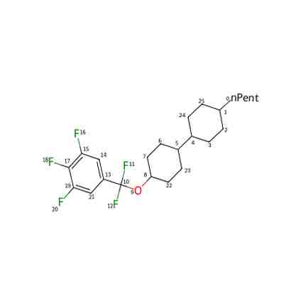 CCCCCC1CCC(C2CCC(OC(F)(F)c3cc(F)c(F)c(F)c3)CC2)CC1